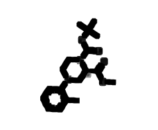 COC(=O)[C@H]1CN(c2ccccc2C)CCN1C(=O)OC(C)(C)C